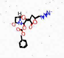 [N-]=[N+]=NCC1CC(=C2O[C@@H]3CC(=O)N3C2OC(=O)OCc2ccccc2)C(=O)O1